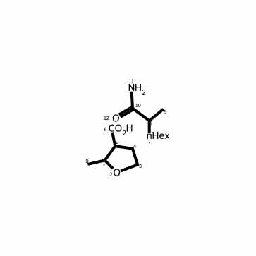 CC1OCCC1C(=O)O.CCCCCCC(C)C(N)=O